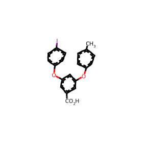 Cc1ccc(Oc2cc(Oc3ccc(I)cc3)cc(C(=O)O)c2)cc1